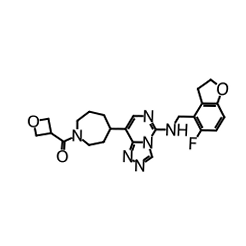 O=C(C1COC1)N1CCCC(c2cnc(NCc3c(F)ccc4c3CCO4)n3cnnc23)CC1